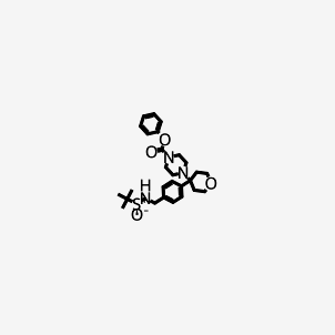 CC(C)(C)[S@+]([O-])NCc1ccc(C2(N3CCN(C(=O)Oc4ccccc4)CC3)CCOCC2)cc1